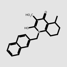 CC1CCCc2c1c(=O)c(C(=O)O)c(O)n2Cc1ccc2ccccc2c1